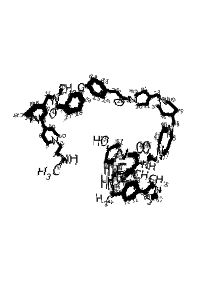 CNCCN1CCC(c2cc(CN(C)C(=O)c3cccc(Oc4ccc(CC(=O)N5CCC(CN6CCC(CN7CCN(CC(=O)N[C@H](C(=O)N8C[C@H](O)C[C@H]8C(=O)N[C@@H](C)c8ccc(-c9scnc9C)cc8)C(C)(C)C)CC7)CC6)CC5)cc4)c3)ccn2)CC1